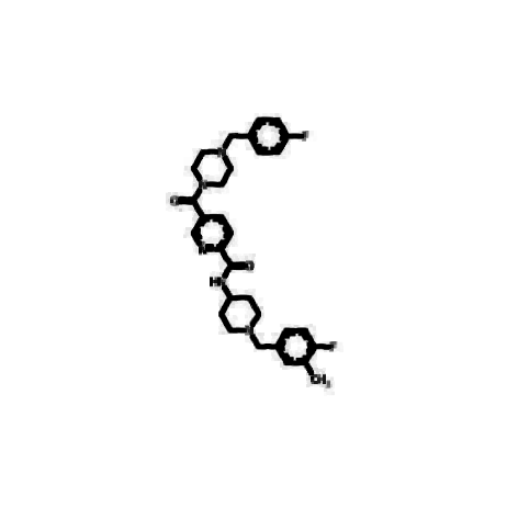 Cc1cc(CN2CCC(NC(=O)c3ccc(C(=O)N4CCN(Cc5ccc(F)cc5)CC4)cn3)CC2)ccc1F